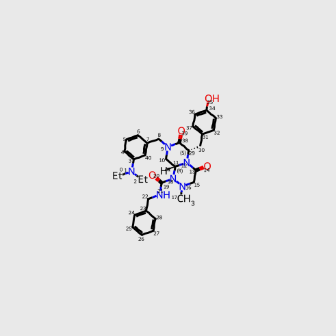 CCN(CC)c1cccc(CN2C[C@@H]3N(C(=O)CN(C)N3C(=O)NCc3ccccc3)[C@@H](Cc3ccc(O)cc3)C2=O)c1